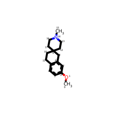 COc1ccc2c(c1)CC1(CC2)CCN(C)CC1